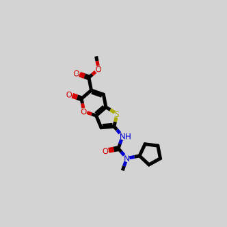 COC(=O)c1cc2sc(NC(=O)N(C)C3CCCC3)cc2oc1=O